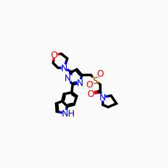 O=C(CS(=O)(=O)Cc1cc(N2CCOCC2)nc(-c2ccc3[nH]ccc3c2)n1)N1CCCC1